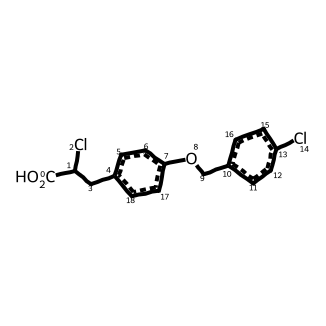 O=C(O)C(Cl)Cc1ccc(OCc2ccc(Cl)cc2)cc1